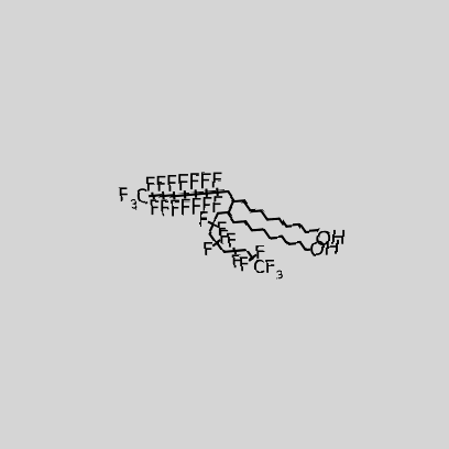 OCCCCCCCCCC(CC(F)(F)CC(F)(F)CC(F)(F)CC(F)(F)C(F)(F)F)C(CCCCCCCCCO)CC(F)(F)C(F)(F)C(F)(F)C(F)(F)C(F)(F)C(F)(F)C(F)(F)C(F)(F)F